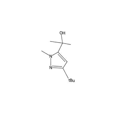 Cn1nc(C(C)(C)C)cc1C(C)(C)O